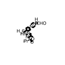 CC(C)N1C(=O)OCc2cnc(N[C@@H](C)c3ccc(N4CCN(BC=O)CC4)cc3)nc21